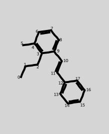 CCCc1c(C)cccc1C=Cc1ccccc1